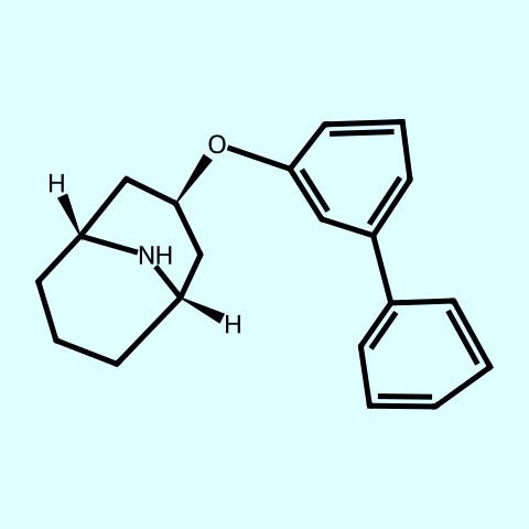 c1ccc(-c2cccc(O[C@@H]3C[C@H]4CCC[C@@H](C3)N4)c2)cc1